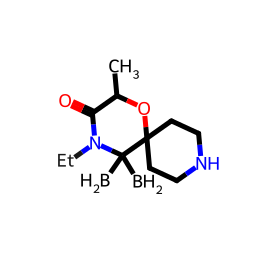 BC1(B)N(CC)C(=O)C(C)OC12CCNCC2